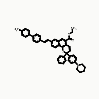 CCOC(=O)c1cc2cc(/C=C/c3ccc(-c4ccc(C)cc4)cc3)ccc2c2c1C=CC(c1ccccc1)(c1ccc(N3CCCCC3)cc1)O2